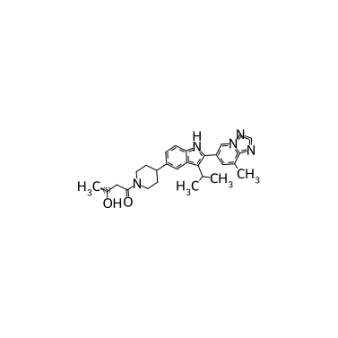 Cc1cc(-c2[nH]c3ccc(C4CCN(C(=O)C[C@H](C)O)CC4)cc3c2C(C)C)cn2ncnc12